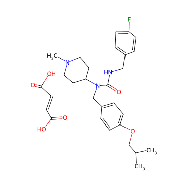 CC(C)COc1ccc(CN(C(=O)NCc2ccc(F)cc2)C2CCN(C)CC2)cc1.O=C(O)/C=C/C(=O)O